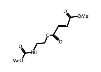 COC(=O)/C=C/C(=O)OCCNC(=O)OC